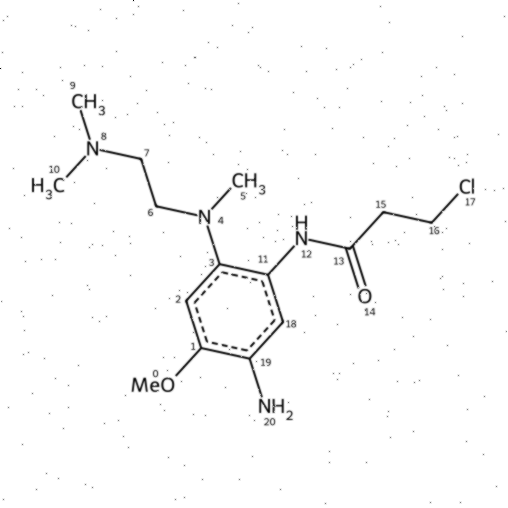 COc1cc(N(C)CCN(C)C)c(NC(=O)CCCl)cc1N